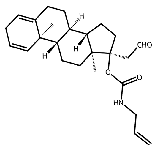 C=CCNC(=O)O[C@]1(CC=O)CC[C@H]2[C@@H]3CCC4=CCC=C[C@]4(C)[C@H]3CC[C@@]21C